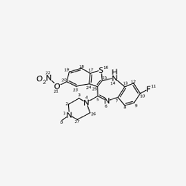 CN1CCN(C2=Nc3ccc(F)cc3Nc3sc4ccc(O[N+](=O)[O-])cc4c32)CC1